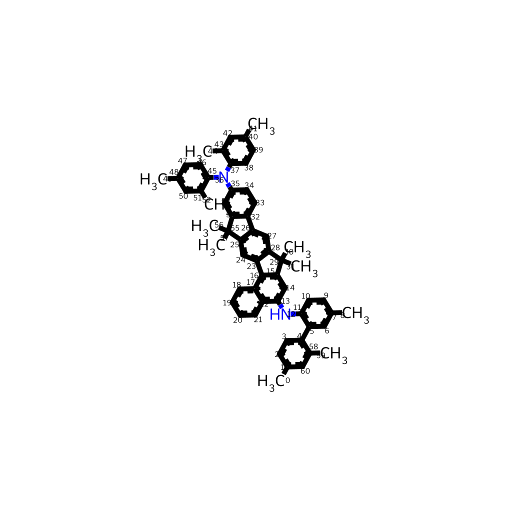 Cc1ccc(-c2cc(C)ccc2Nc2cc3c(c4ccccc24)-c2cc4c(cc2C3(C)C)-c2ccc(N(c3ccc(C)cc3C)c3ccc(C)cc3C)cc2C4(C)C)c(C)c1